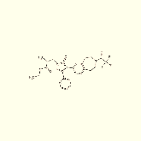 CCOC(=O)C(C)Cn1cc(-c2ccccc2)n(-c2ccc3c(c2)CCN(C(=O)C(F)(F)F)CC3)c1=O